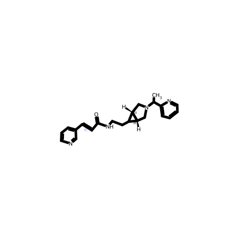 CC(c1ccccn1)N1C[C@@H]2C(CCNC(=O)/C=C/c3cccnc3)[C@@H]2C1